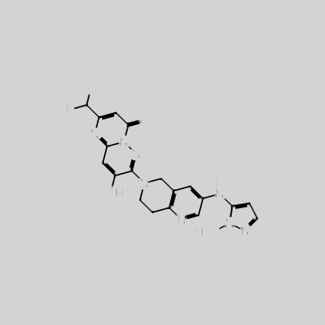 Cc1cc2nc(C(F)F)cc(=O)n2nc1N1CCc2ncc(Nc3ccnn3C)cc2C1